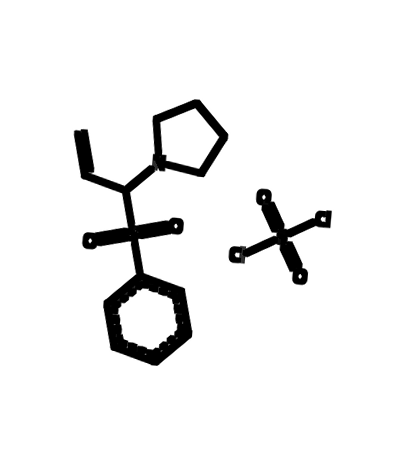 C=CC(N1CCCC1)S(=O)(=O)c1ccccc1.O=S(=O)(Cl)Cl